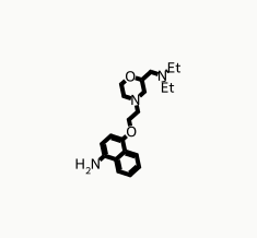 CCN(CC)CC1CN(CCOc2ccc(N)c3ccccc23)CCO1